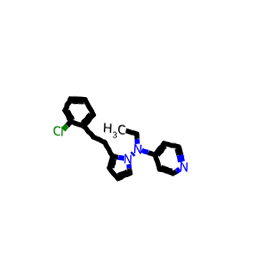 CCN(c1ccncc1)n1cccc1CCc1ccccc1Cl